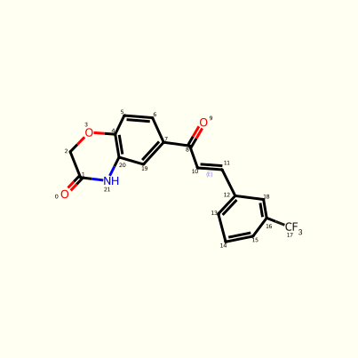 O=C1COc2ccc(C(=O)/C=C/c3cccc(C(F)(F)F)c3)cc2N1